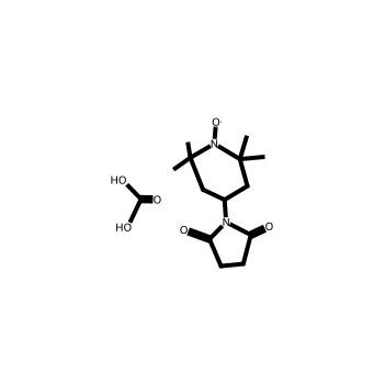 CC1(C)CC(N2C(=O)CCC2=O)CC(C)(C)N1[O].O=C(O)O